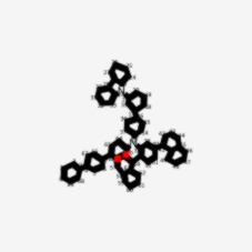 c1ccc(-c2ccc(-c3ccc(N(c4ccc(-c5cccc(-n6c7ccccc7c7ccccc76)c5)cc4)c4cc(-c5cccc6ccccc56)ccc4-c4cccc5ccccc45)cc3)cc2)cc1